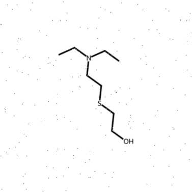 CCN(CC)CCSCCO